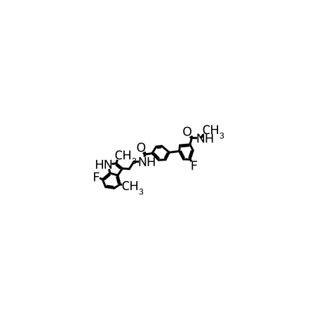 CNC(=O)c1cc(F)cc(-c2ccc(C(=O)NCCc3c(C)[nH]c4c(F)ccc(C)c34)cc2)c1